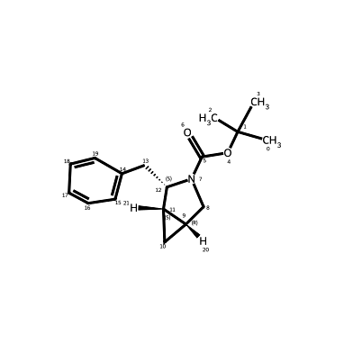 CC(C)(C)OC(=O)N1C[C@@H]2C[C@@H]2[C@@H]1Cc1ccccc1